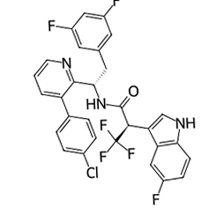 O=C(N[C@@H](Cc1cc(F)cc(F)c1)c1ncccc1-c1ccc(Cl)cc1)[C@@H](c1c[nH]c2ccc(F)cc12)C(F)(F)F